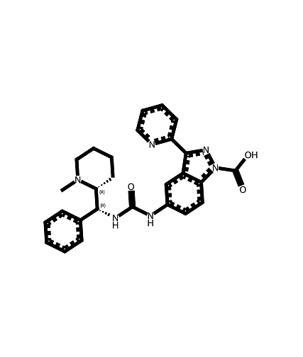 CN1CCCC[C@@H]1[C@H](NC(=O)Nc1ccc2c(c1)c(-c1ccccn1)nn2C(=O)O)c1ccccc1